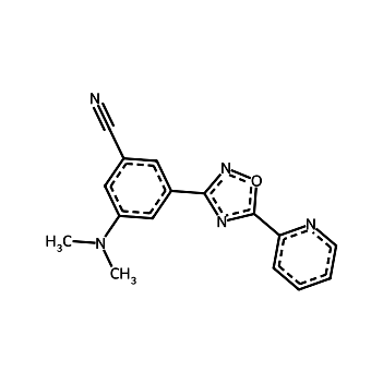 CN(C)c1cc(C#N)cc(-c2noc(-c3ccccn3)n2)c1